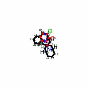 C[C@@H]1C[C@@H]2C[C@H](C1)C[C@@H](N1[C@@H]3CCC[C@H]1C[C@@H](n1c(=O)c(Cl)nc4ccccc41)C3)C2